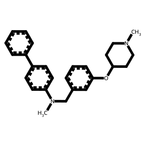 CN1CCC(Oc2cccc(CN(C)c3ccc(-c4ccccc4)cc3)c2)CC1